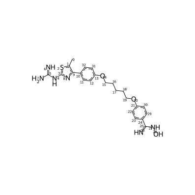 Cc1sc(NC(=N)N)nc1-c1ccc(OCCCCCOc2ccc(C(=N)NO)cc2)cc1